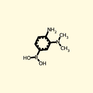 CN(C)c1cc(B(O)O)ccc1N